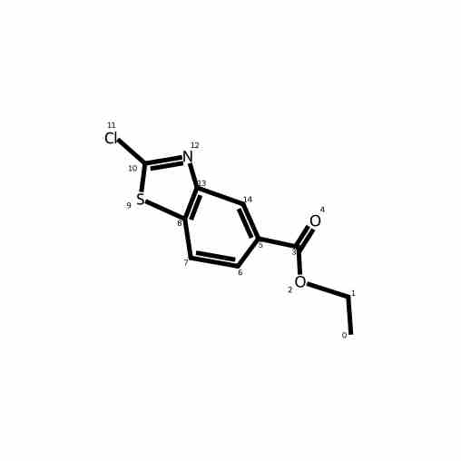 CCOC(=O)c1ccc2sc(Cl)nc2c1